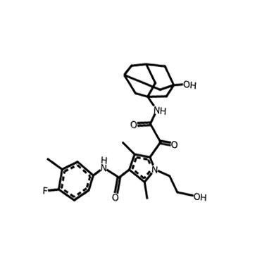 Cc1cc(NC(=O)c2c(C)c(C(=O)C(=O)NC34CC5CC(CC(O)(C5)C3)C4)n(CCO)c2C)ccc1F